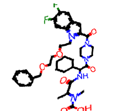 CC(C(=O)NC(C(=O)N1CCN(C(=O)c2cc3cc(F)c(F)cc3n2CCOCCOCc2ccccc2)CC1)C1CCCCC1)N(C)C(=O)O